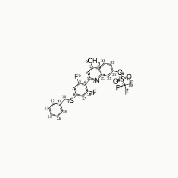 Cc1cc(-c2c(F)cc(SCc3ccccc3)cc2F)nc2cc(OS(=O)(=O)C(F)(F)F)ccc12